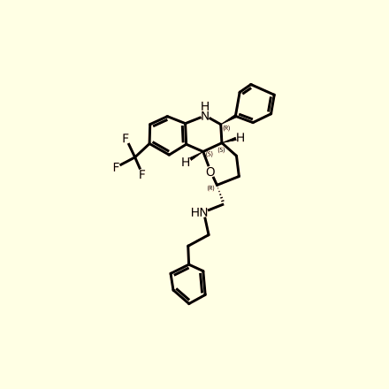 FC(F)(F)c1ccc2c(c1)[C@H]1O[C@@H](CNCCc3ccccc3)CC[C@H]1[C@H](c1ccccc1)N2